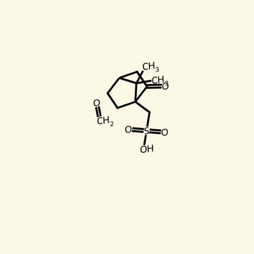 C=O.CC1(C)C2CCC1(CS(=O)(=O)O)C(=O)C2